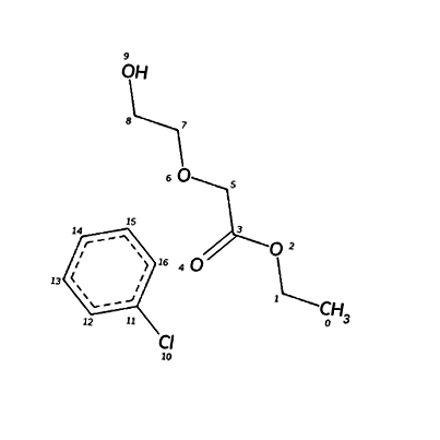 CCOC(=O)COCCO.Clc1ccccc1